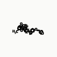 CC1CC2CC(C1)C(NC(=O)c1cnc(N3CCc4cc(OCCN5CCOCC5)ccc43)nc1C(F)(F)F)(C(=O)O)C2